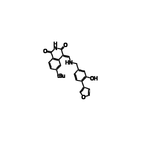 CC(C)(C)c1ccc2c(c1)/C(=C\NCc1ccc(-c3ccoc3)c(O)c1)C(=O)NC2=O